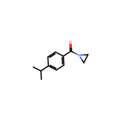 CC(C)c1ccc(C(=O)N2CC2)cc1